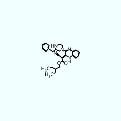 CCC(CC)COC(=O)/C(C#N)=C1\Nc2ccccc2N=C1N1CCNC(Cc2ccccc2)C1